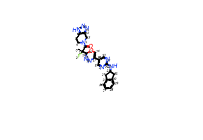 C[C@@](F)(C(=O)N1CCc2[nH]nnc2C1)C1N=NC(c2cnc(NC3Cc4ccccc4C3)nc2)=CO1